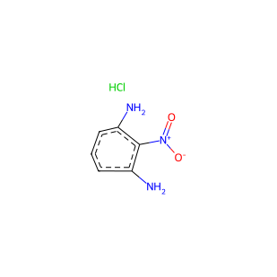 Cl.Nc1cccc(N)c1[N+](=O)[O-]